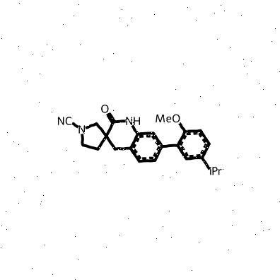 COc1ccc(C(C)C)cc1-c1ccc2c(c1)NC(=O)C1(CCN(C#N)C1)C2